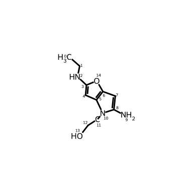 CCNc1cc2c(cc(N)n2CCO)o1